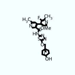 COc1cnc(C)c(F)c1-c1cc(C)ncc1C(=O)Nc1nnc(OCC23CCC(O)(CC2)CC3)s1